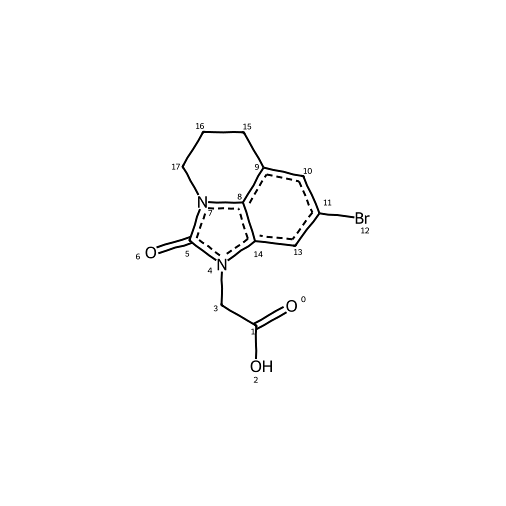 O=C(O)Cn1c(=O)n2c3c(cc(Br)cc31)CCC2